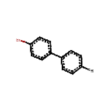 [2H]c1ccc(-c2ccc(Br)cc2)cc1